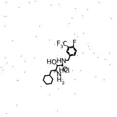 Cl.N[C@H](CC1CCCCC1)C(O)C(=O)NCc1ccc(F)c(C(F)(F)F)c1